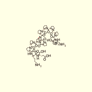 C[C@@H](O)[C@H](NC(=O)CN)C(=O)N1CCC[C@H]1C(=O)N1CCC[C@H]1C(=O)N1CCC[C@H]1C(=O)N1CCC[C@H]1C(=O)N1CCC[C@H]1C(=O)N1CCC[C@H]1C(=O)N1CCC[C@H]1C(=O)N1CCC[C@H]1C(=O)N1CCC[C@H]1C(=O)N[C@@H](CCCCN)C(=O)N[C@@H](CCC(=O)O)C(=O)O